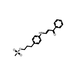 CS(=O)(=O)OCCCc1ccc(NC=CC(=O)c2ccccc2)cc1